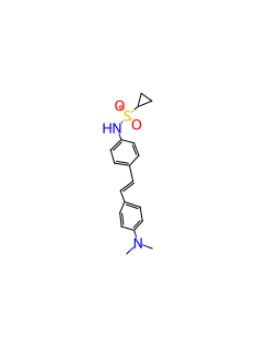 CN(C)c1ccc(/C=C/c2ccc(NS(=O)(=O)C3CC3)cc2)cc1